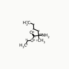 CCCCC(C)(N)C(=O)OCC